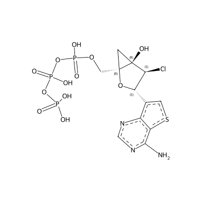 Nc1ncnc2c([C@@H]3O[C@@]4(COP(=O)(O)OP(=O)(O)OP(=O)(O)O)C[C@]4(O)[C@H]3Cl)csc12